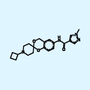 Cn1cc(C(=O)Nc2ccc3c(c2)COC2(CCN(C4CCC4)CC2)O3)cn1